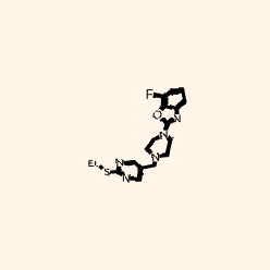 CCSc1ncc(CN2CCN(c3nc4cccc(F)c4o3)CC2)cn1